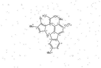 CCC1=[C]([Zr+2](=[C](C)C)[c]2c(C(C)(C)C)ccc3c2Cc2cc(C(C)(C)C)ccc2-3)C(CC)C=C1C(C)(C)C.[Cl-].[Cl-]